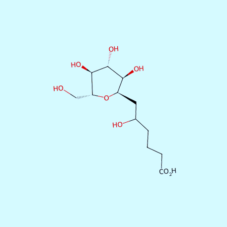 O=C(O)CCCC(O)C[C@H]1O[C@H](CO)[C@@H](O)[C@H](O)[C@H]1O